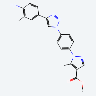 CC(C)OC(=O)c1cnn(-c2ccc(-n3cc(-c4ccc(N)c(C(=O)O)c4)nn3)cc2)c1C(F)(F)F